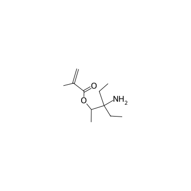 C=C(C)C(=O)OC(C)C(N)(CC)CC